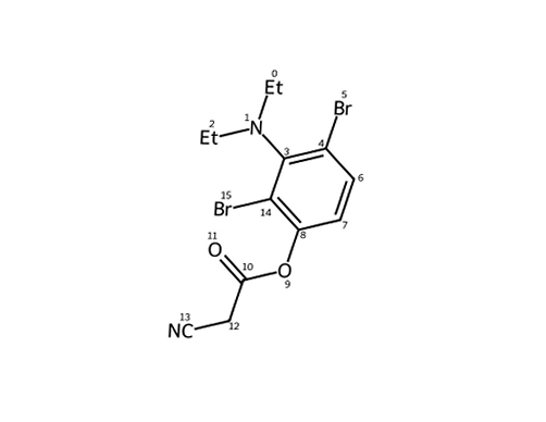 CCN(CC)c1c(Br)ccc(OC(=O)CC#N)c1Br